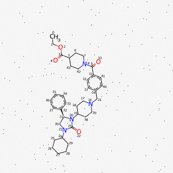 CCOC(=O)C1CCN(C(=O)c2ccc(CN3CCC(N4C(=O)N(C5CCCCC5)C[C@H]4c4ccccc4)CC3)cc2)CC1